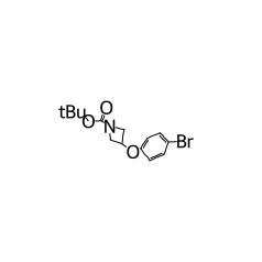 CC(C)(C)OC(=O)N1CC(Oc2ccc(Br)cc2)C1